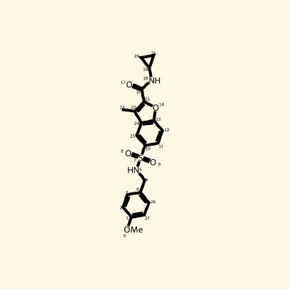 COc1ccc(CNS(=O)(=O)c2ccc3oc(C(=O)NC4CC4)c(C)c3c2)cc1